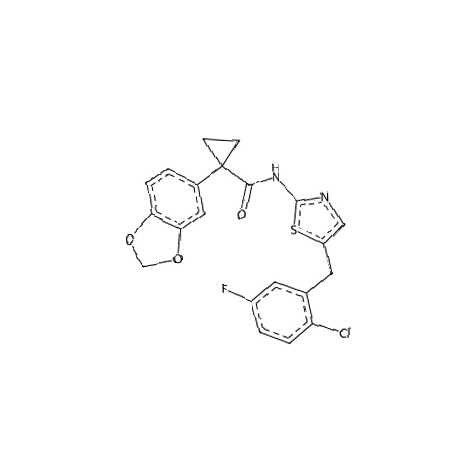 O=C(Nc1ncc(Cc2cc(F)ccc2Cl)s1)C1(c2ccc3c(c2)OCO3)CC1